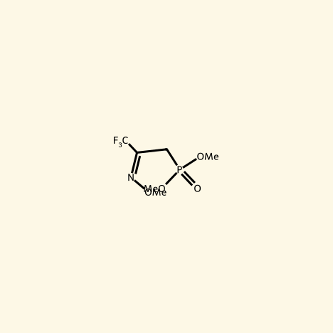 CO/N=C(\CP(=O)(OC)OC)C(F)(F)F